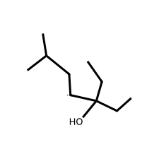 CCC(O)([CH]CC(C)C)CC